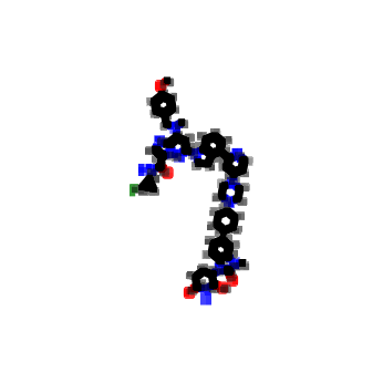 COc1ccc(CN(C)c2cc(N3CCc4c(-c5cc(N6CCN([C@H]7CC[C@H](c8ccc9c(c8)n(C)c(=O)n9C8CCC(=O)NC8=O)CC7)CC6)ccn5)cccc43)nn3c(C(=O)N[C@@H]4C[C@@H]4F)cnc23)cc1